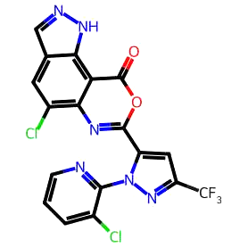 O=c1oc(-c2cc(C(F)(F)F)nn2-c2ncccc2Cl)nc2c(Cl)cc3cn[nH]c3c12